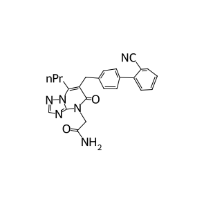 CCCc1c(Cc2ccc(-c3ccccc3C#N)cc2)c(=O)n(CC(N)=O)c2ncnn12